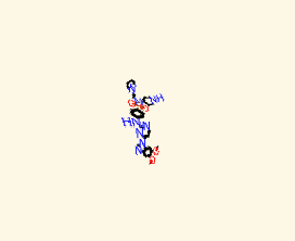 COc1cc2ncn(-c3ccnc(Nc4ccc(S(=O)(=O)N(CCN5CCCC5)C5CCNCC5)cc4)n3)c2cc1OC